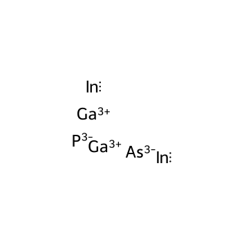 [As-3].[Ga+3].[Ga+3].[In].[In].[P-3]